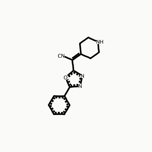 [C-]#[N+]C(=C1CCNCC1)c1nnc(-c2ccccc2)o1